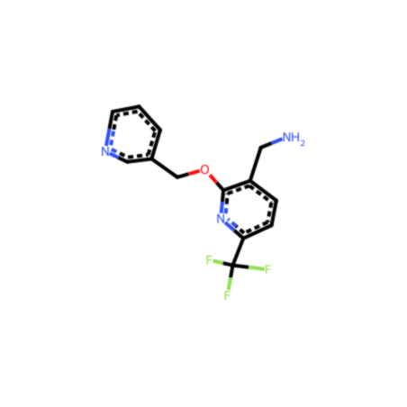 NCc1ccc(C(F)(F)F)nc1OCc1cccnc1